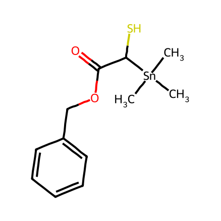 [CH3][Sn]([CH3])([CH3])[CH](S)C(=O)OCc1ccccc1